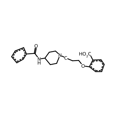 O=C(NC1CCN(CCCOc2ccccc2C(=O)O)CC1)c1ccccc1